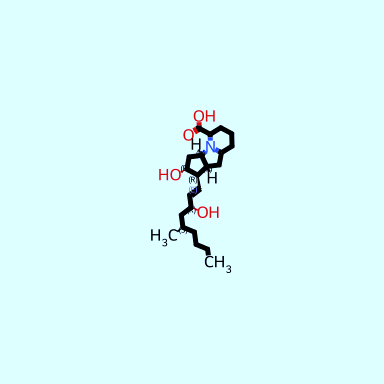 CCCC[C@H](C)C[C@@H](O)/C=C/[C@@H]1[C@H]2CC3CCCC(C(=O)O)N3[C@@H]2C[C@H]1O